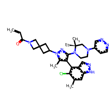 C=CC(=O)N1CC2(CC(n3nc(N4CCN(c5ccnnc5)C[C@]4(C)CC)c(-c4c(Cl)c(C)cc5[nH]ncc45)c3C)C2)C1